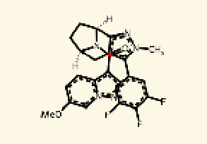 COc1ccc2c(C(=O)N3[C@@H]4CC[C@H]3c3nn(C)c(-c5cc(F)c(F)c(F)c5)c3C4)cnn2c1